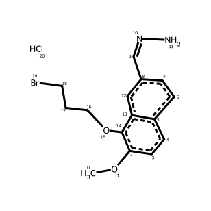 COc1ccc2ccc(/C=N\N)cc2c1OCCCBr.Cl